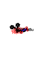 CC(C)(C)OC(=O)N1CCN(C(=O)[C@H](O)[C@@H](O)[C@H](OCc2ccccc2)[C@](O)(CO)COCc2ccccc2)CC1